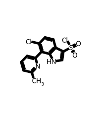 Cc1cccc(-c2c(Cl)ccc3c(S(=O)(=O)Cl)c[nH]c23)n1